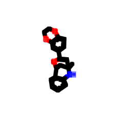 CC12C=C(c3ccc4c(c3)OCCO4)OC(C1)c1ccccc1N2